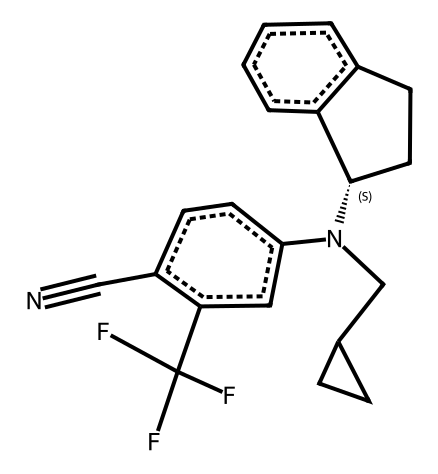 N#Cc1ccc(N(CC2CC2)[C@H]2CCc3ccccc32)cc1C(F)(F)F